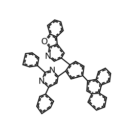 c1ccc(-c2cc(-c3cc(-c4cc5ccccc5c5ccccc45)ccc3-c3cnc4oc5ccccc5c4c3)nc(-c3ccccc3)n2)cc1